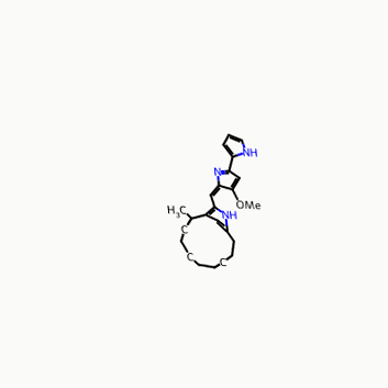 COC1=CC(c2ccc[nH]2)=N/C1=C/c1[nH]c2cc1C(C)CCCCCCCC2